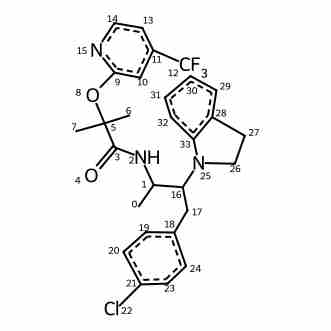 CC(NC(=O)C(C)(C)Oc1cc(C(F)(F)F)ccn1)C(Cc1ccc(Cl)cc1)N1CCc2ccccc21